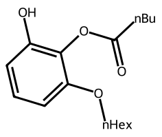 CCCCCCOc1cccc(O)c1OC(=O)CCCC